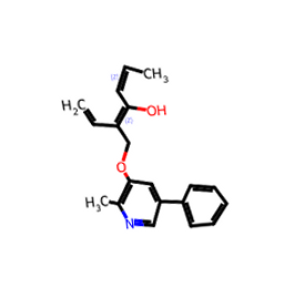 C=C/C(COc1cc(-c2ccccc2)cnc1C)=C(O)\C=C/C